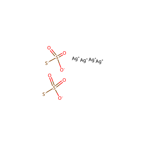 O=S(=O)([O-])[S-].O=S(=O)([O-])[S-].[Ag+].[Ag+].[Ag+].[Ag+]